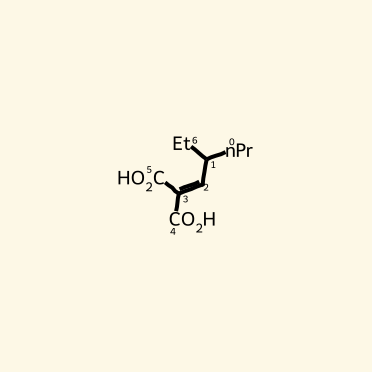 CCCC(C=C(C(=O)O)C(=O)O)CC